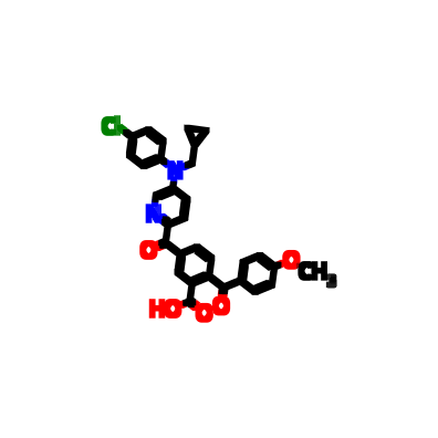 COc1ccc(C(=O)c2ccc(C(=O)c3ccc(N(CC4CC4)c4ccc(Cl)cc4)cn3)cc2C(=O)O)cc1